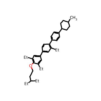 CCc1cc(-c2cc(CC)c(OCCC(CC)CC)c(CC)c2)ccc1-c1ccc(C2CCC(C)CC2)cc1